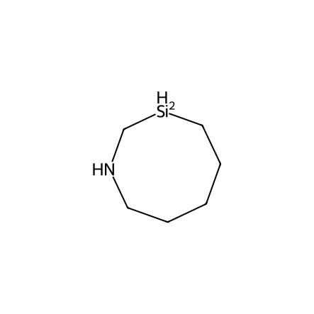 C1CCNC[SiH2]CC1